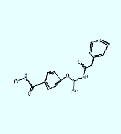 CCCC(NC(=O)Cc1ccccc1)Oc1ccc(C(=O)NO)cc1